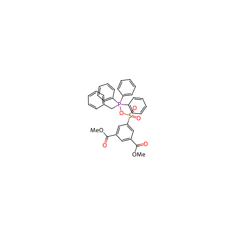 COC(=O)c1cc(C(=O)OC)cc(S(=O)(=O)OP(Cc2ccccc2)(c2ccccc2)(c2ccccc2)c2ccccc2)c1